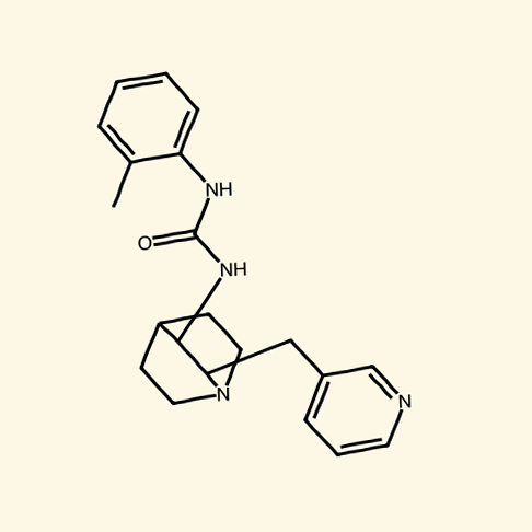 Cc1ccccc1NC(=O)NC1C2CCN(CC2)C1Cc1cccnc1